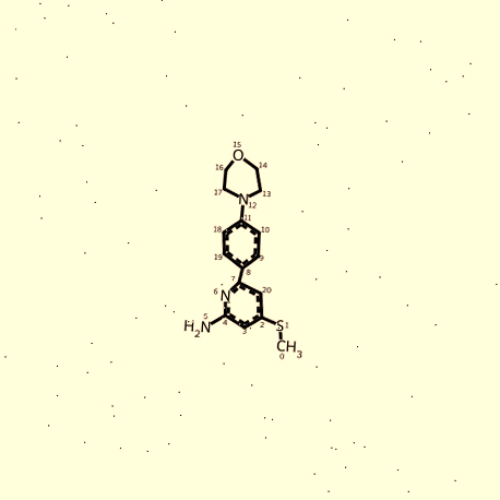 CSc1cc(N)nc(-c2ccc(N3CCOCC3)cc2)c1